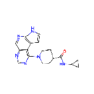 O=C(NC1CC1)C1CCN(c2ncnc3cnc4[nH]ccc4c23)CC1